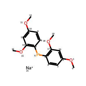 COc1ccc([P-]c2ccc(OC)cc2OC)c(OC)c1.[Na+]